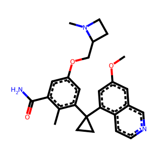 COc1cc(C2(c3cc(OCC4CCN4C)cc(C(N)=O)c3C)CC2)c2ccncc2c1